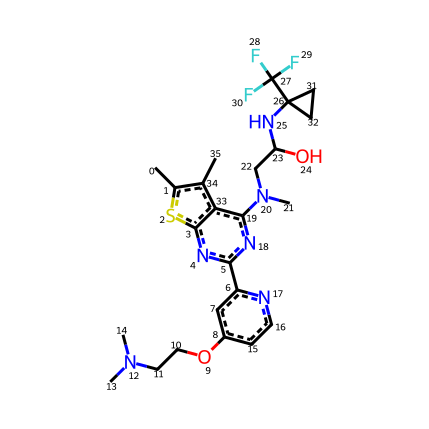 Cc1sc2nc(-c3cc(OCCN(C)C)ccn3)nc(N(C)CC(O)NC3(C(F)(F)F)CC3)c2c1C